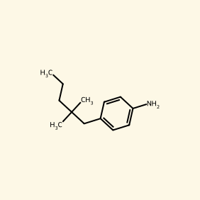 CCCC(C)(C)Cc1ccc(N)cc1